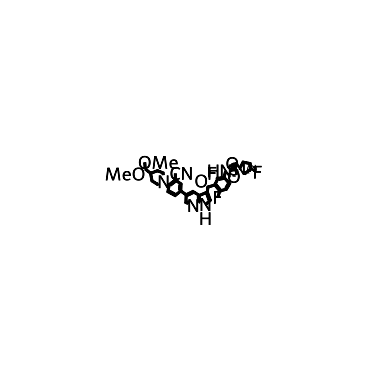 COC(OC)C1CCN(c2ccc(-c3cnc4[nH]cc(C(=O)c5c(F)ccc(NS(=O)(=O)N6CC[C@@H](F)C6)c5F)c4c3)cc2C#N)CC1